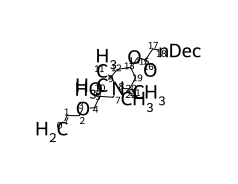 C=CCOCC(O)CN1C(C)(C)CC(OC(=O)CCCCCCCCCCC)CC1(C)C